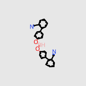 N#Cc1ccccc1-c1ccc(OBOc2ccc(-c3ccccc3C#N)cc2)cc1